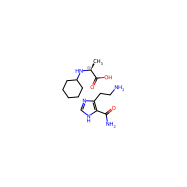 C[C@H](NC1CCCCC1)C(=O)O.NCCc1nc[nH]c1C(N)=O